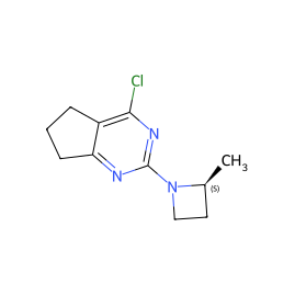 C[C@H]1CCN1c1nc(Cl)c2c(n1)CCC2